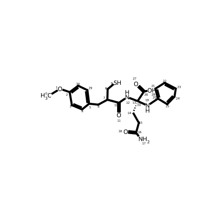 COc1ccc(CC(CS)C(=O)N[C@](CCC(N)=O)(Nc2ccccc2)C(=O)O)cc1